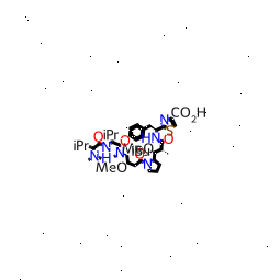 CC[C@H](C)[C@@H]([C@@H](CC(=O)N1CCCC1[C@H](OC)[C@@H](C)C(=O)N[C@@H](Cc1ccccc1)c1nc(C(=O)O)cs1)OC)N(C)C(=O)C(NC(=O)C(C(C)C)N(C)C)C(C)C